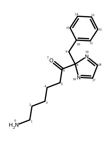 NCCCC[CH]C(=O)C1(Cc2ccccc2)N=CC=N1